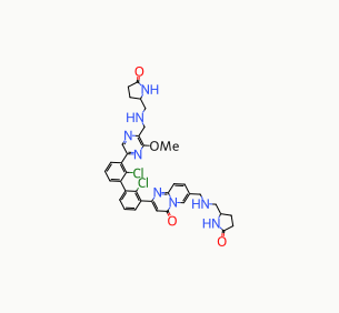 COc1nc(-c2cccc(-c3cccc(-c4cc(=O)n5cc(CNCC6CCC(=O)N6)ccc5n4)c3Cl)c2Cl)cnc1CNCC1CCC(=O)N1